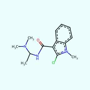 CC(NC(=O)c1c(Cl)n(C)c2ccccc12)N(C)C